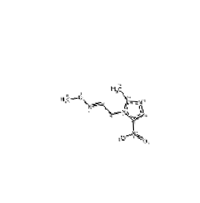 CON=CCn1c([N+](=O)[O-])cnc1C